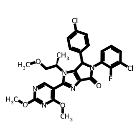 COC[C@@H](C)n1c(-c2cnc(OC)nc2OC)nc2c1C(c1ccc(Cl)cc1)N(c1cccc(Cl)c1F)C2=O